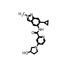 Cn1cc2cc(NC(=O)c3cc(N4CCC(O)C4)ccn3)c(C3CC3)cc2n1